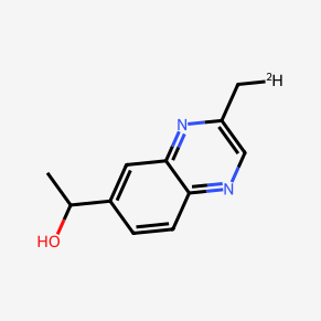 [2H]Cc1cnc2ccc(C(C)O)cc2n1